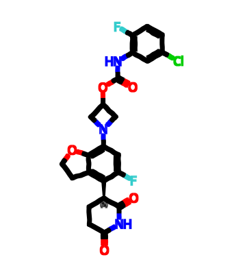 O=C1CC[C@@H](c2c(F)cc(N3CC(OC(=O)Nc4cc(Cl)ccc4F)C3)c3c2CCO3)C(=O)N1